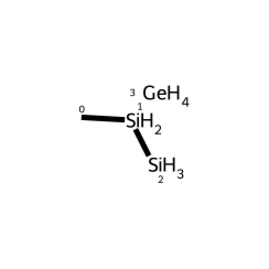 C[SiH2][SiH3].[GeH4]